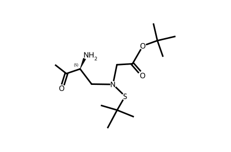 CC(=O)[C@@H](N)CN(CC(=O)OC(C)(C)C)SC(C)(C)C